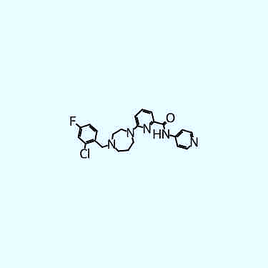 O=C(Nc1ccncc1)c1cccc(N2CCCN(Cc3ccc(F)cc3Cl)CC2)n1